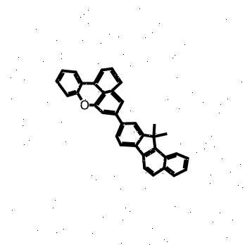 CC1(C)c2cc(-c3cc4c5c(cccc5c3)-c3ccccc3O4)ccc2-c2ccc3ccccc3c21